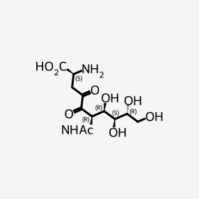 CC(=O)N[C@@H](C(=O)C(=O)C[C@H](N)C(=O)O)[C@@H](O)[C@H](O)[C@H](O)CO